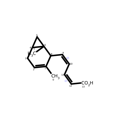 CC1=CCC2CC2(C)C1/C=C\C=C/C(=O)O